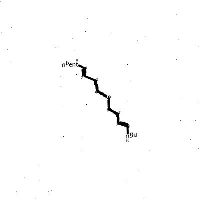 [CH2]CCCCC=CCCCCCC=CCCCC